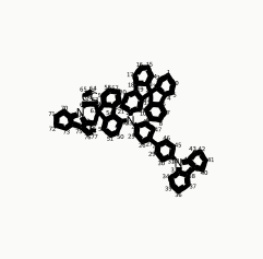 c1ccc2c(c1)-c1ccccc1C21c2ccccc2-c2ccc(N(c3ccc(-c4ccc(-n5c6ccccc6c6ccccc65)cc4)cc3)c3cccc4c3-c3ccccc3C43c4ccccc4-n4c5ccccc5c5cccc3c54)cc21